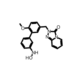 COc1ccc(Cn2nc3ccccn3c2=O)cc1-c1cccc(NO)c1